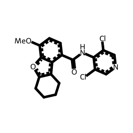 COc1ccc(C(=O)Nc2c(Cl)cncc2Cl)c2c3c(oc12)CCCC3